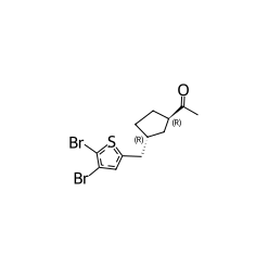 CC(=O)[C@@H]1CC[C@@H](Cc2cc(Br)c(Br)s2)C1